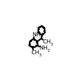 Cc1ccc(N)c(C(C)c2ccccc2)c1N